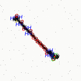 Cn1c(=O)c(-c2c(Cl)cccc2Cl)cc2cnc(Nc3cccc(C(=O)NCCOCCOCCOCCOCCOCCOCCOCCOCCNC(=O)CCCCCNC(=O)CCCCCNC(=O)CCCC[C@@H]4SC[C@@H]5NC(=O)N[C@@H]54)c3)nc21